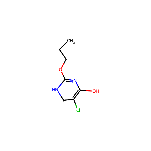 CCCOC1=NC(O)=C(Cl)[CH]N1